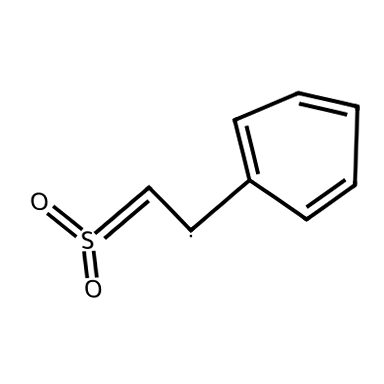 O=S(=O)=C[CH]c1ccccc1